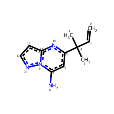 C=CC(C)(C)c1cc(N)n2nccc2n1